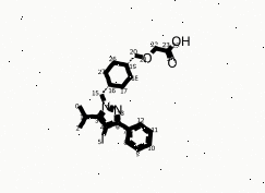 CC(C)c1c(I)c(-c2ccccc2)nn1C[C@H]1CC[C@@H](COCC(=O)O)CC1